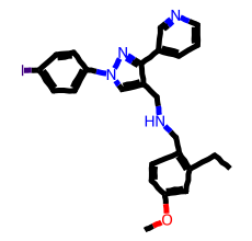 CCc1cc(OC)ccc1CNCc1cn(-c2ccc(I)cc2)nc1-c1cccnc1